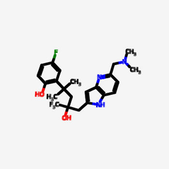 CN(C)Cc1ccc2[nH]c(CC(O)(CC(C)(C)c3cc(F)ccc3O)C(F)(F)F)cc2n1